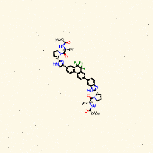 COC(=O)N[C@H](C(=O)N1CCC[C@@H]1c1nc(-c2ccc3c(c2)C(F)(F)C(F)(F)c2cc(-c4ccc5nc([C@@H]6CCCN6C(=O)[C@@H](NC(=O)OC)C(C)C)[nH]c5c4)ccc2-3)c[nH]1)C(C)C